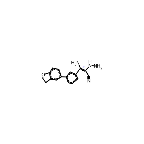 N#C/C(NN)=C(/N)c1cccc(-c2ccc3c(c2)CCO3)c1